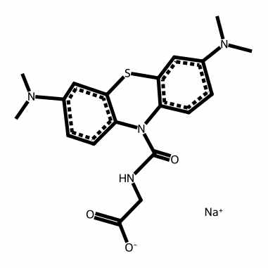 CN(C)c1ccc2c(c1)Sc1cc(N(C)C)ccc1N2C(=O)NCC(=O)[O-].[Na+]